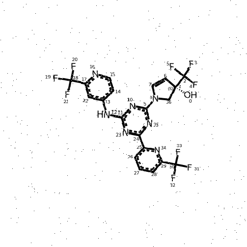 O[C@@]1(C(F)(F)F)C=CN(c2nc(Nc3ccnc(C(F)(F)F)c3)nc(-c3cccc(C(F)(F)F)n3)n2)C1